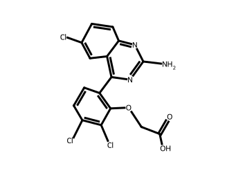 Nc1nc(-c2ccc(Cl)c(Cl)c2OCC(=O)O)c2cc(Cl)ccc2n1